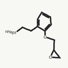 CCCCCCCCCc1ccccc1OCC1CO1